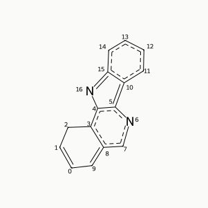 C1=CCc2c3c(ncc2=C1)=c1ccccc1=N3